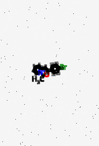 CC[n+]1ccccc1CC(=O)c1ccc(Br)cc1